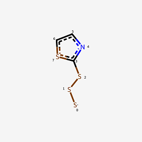 [S]SSc1nccs1